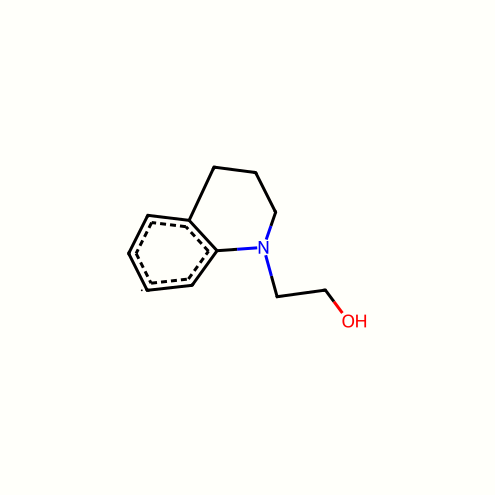 OCCN1CCCc2cc[c]cc21